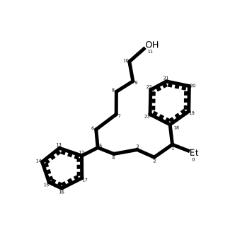 CCC(CCCC(CCCCCO)c1ccccc1)c1ccccc1